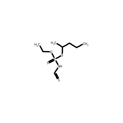 CCCC(C)SP(=S)(NC=S)OCC